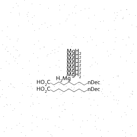 CCCCCCCCCCCCCCCCCC(=O)O.CCCCCCCCCCCCCCCCCC(=O)O.[MgH2].[MgH2].[MgH2].[MgH2].[MgH2].[MgH2].[MgH2].[MgH2]